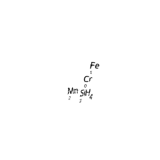 [Cr].[Fe].[Mn].[SiH4]